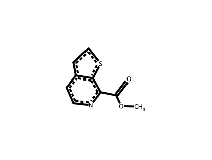 COC(=O)c1nccc2ccsc12